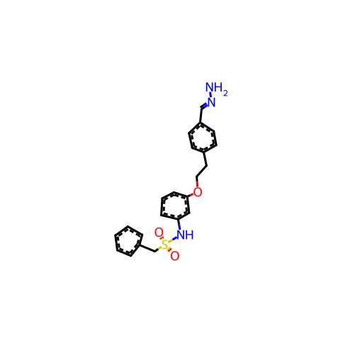 NN=Cc1ccc(CCOc2cccc(NS(=O)(=O)Cc3ccccc3)c2)cc1